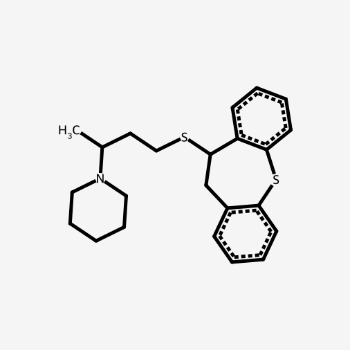 CC(CCSC1Cc2ccccc2Sc2ccccc21)N1CCCCC1